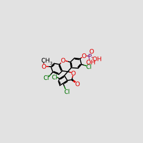 COc1cc2c(cc1Cl)C1(OC(=O)c3c(Cl)ccc(Cl)c31)c1cc(Cl)c(OP(=O)(O)O)cc1O2